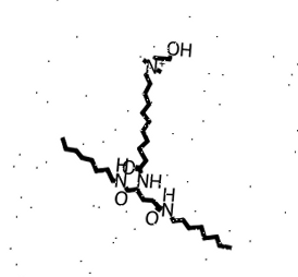 CCCCCCCCNC(=O)CCC(NC(=O)CCCCCCCCCC[N+](C)(C)CCO)C(=O)NCCCCCCCC